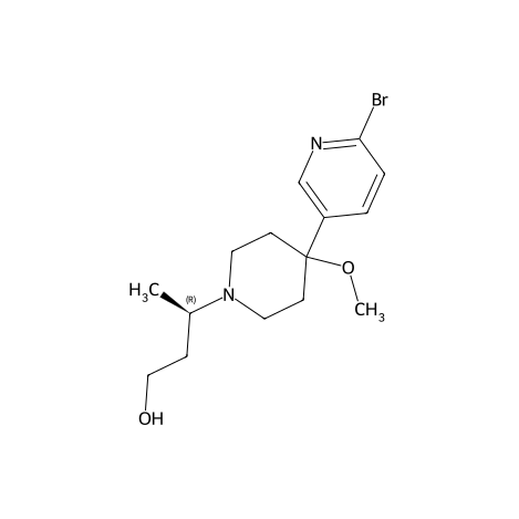 COC1(c2ccc(Br)nc2)CCN([C@H](C)CCO)CC1